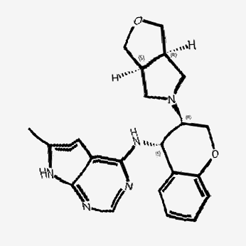 Cc1cc2c(N[C@H]3c4ccccc4OC[C@@H]3N3C[C@H]4COC[C@H]4C3)ncnc2[nH]1